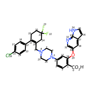 O=C(O)c1ccc(N2CCN(CC3=C(c4ccc(Cl)cc4)CCC(F)(F)C3)CC2)cc1Oc1cnc2[nH]ccc2c1